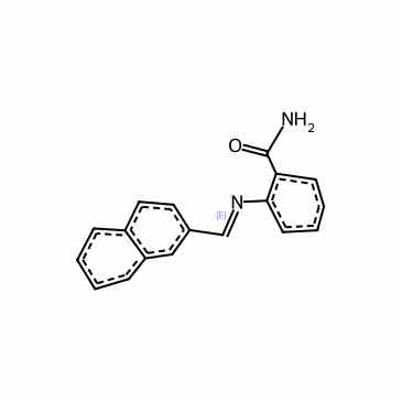 NC(=O)c1ccccc1/N=C/c1ccc2ccccc2c1